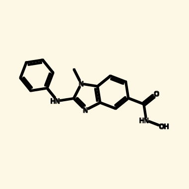 Cn1c(Nc2ccccc2)nc2cc(C(=O)NO)ccc21